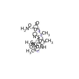 CC(/C=C/[C@@H]1C[C@]2(CO2)C[C@@H](CC(N)=O)O1)=C\C[C@@H]1O[C@H](C)[C@H](NC(=O)/C=C\[C@H](C)OC(=O)N(C)CCSSc2ccccn2)C[C@@H]1C